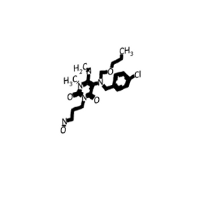 C=Nc1c(N(COCCC)Cc2ccc(Cl)cc2)c(=O)n(CCCN=O)c(=O)n1C